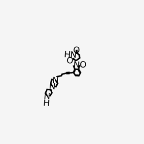 O=C1CCC(N2Cc3c(C#CCCCN4CCN(C5CCNCC5)CC4)cccc3C2=O)C(=O)N1